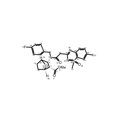 COC(=O)[C@H]1[C@@H](N(Cc2ccc(F)cc2)C(=O)CC2=Nc3ccc(I)cc3S(C)(=O)=N2)[C@@H]2CC[C@H]1O2